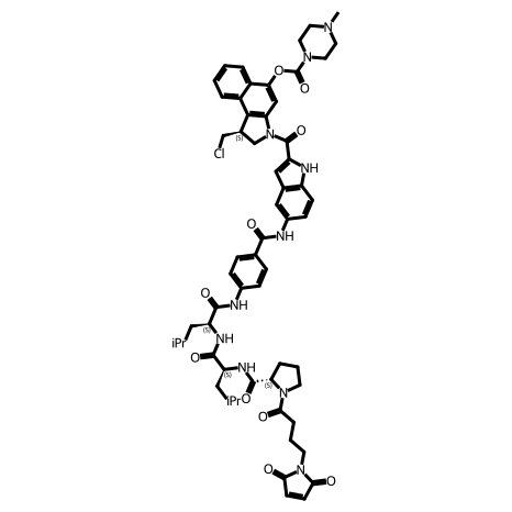 CC(C)C[C@H](NC(=O)[C@H](CC(C)C)NC(=O)[C@@H]1CCCN1C(=O)CCCN1C(=O)C=CC1=O)C(=O)Nc1ccc(C(=O)Nc2ccc3[nH]c(C(=O)N4C[C@@H](CCl)c5c4cc(OC(=O)N4CCN(C)CC4)c4ccccc54)cc3c2)cc1